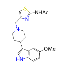 COc1ccc2[nH]cc(C3CCN(Cc4csc(NC(C)=O)n4)CC3)c2c1